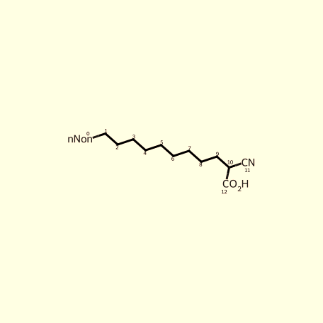 CCCCCCCCCCCCCCCCCCC(C#N)C(=O)O